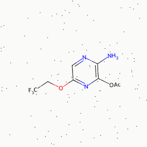 CC(=O)Oc1nc(OCC(F)(F)F)cnc1N